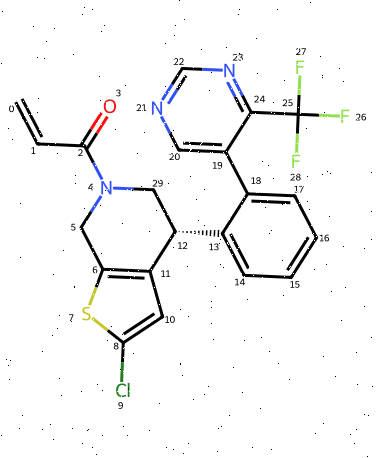 C=CC(=O)N1Cc2sc(Cl)cc2[C@@H](c2ccccc2-c2cncnc2C(F)(F)F)C1